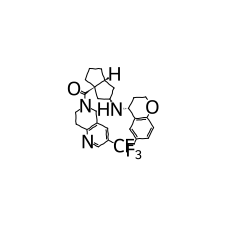 O=C(N1CCc2ncc(C(F)(F)F)cc2C1)[C@@]12CCC[C@@H]1C[C@@H](N[C@@H]1CCOc3ccc(F)cc31)C2